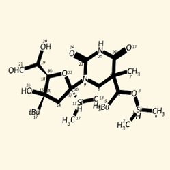 C[SiH](C)OC(C(C)(C)C)C1(C)CN([C@@]2([SiH](C)C)C[C@@](O)(C(C)(C)C)[C@@H](C(O)C=O)O2)C(=O)NC1=O